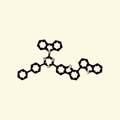 c1ccc(-c2ccc(-c3nc(-c4ccc5c(c4)oc4c(-c6cccc7c6sc6ccccc67)cccc45)nc(-n4c5ccccc5c5ccccc54)n3)cc2)cc1